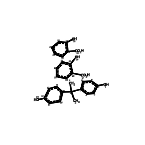 CC(C)(c1ccc(O)cc1)c1ccc(O)cc1.O=C(O)c1ccccc1O.O=C(O)c1ccccc1O